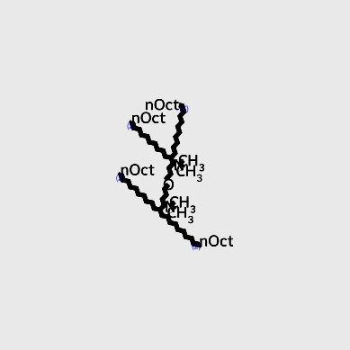 CCCCCCCC/C=C\CCCCCCCCC(CCCCCCCC/C=C\CCCCCCCC)C(CCCOCCCC(C(CCCCCCCC/C=C\CCCCCCCC)CCCCCCCC/C=C\CCCCCCCC)N(C)C)N(C)C